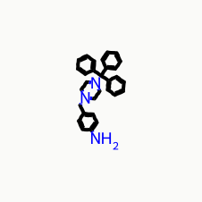 Nc1ccc(CN2CCN(C(c3ccccc3)(c3ccccc3)c3ccccc3)CC2)cc1